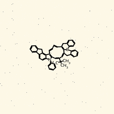 CC(C)(C)C1=C/c2c(c3c4c(ccc3n2-c2ccccc2)-c2ccccc2C4)/C=C/C=C/C2=C3B(c4ccccc4C2)c2ccccc2C\C3=C\1